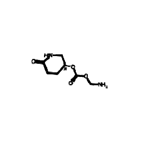 NCOC(=O)O[C@@H]1CCC(=O)NC1